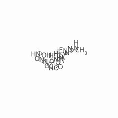 CNc1ccc(-n2cc(-c3cnc(C(=O)Nc4ccc(C(=O)N5CCN(C(=O)[C@H]6NCC[C@@H]6O)CC5)c(Cl)c4)n3C)c(C(F)(F)F)n2)nc1.O=CO